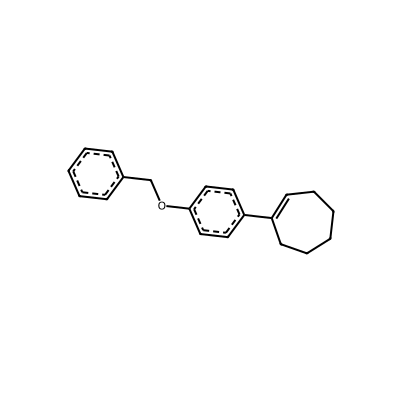 C1=C(c2ccc(OCc3ccccc3)cc2)CCCCC1